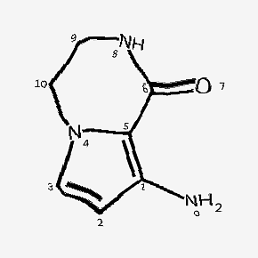 Nc1ccn2c1C(=O)NCC2